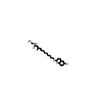 CC(/C=C/CCCCCCCOc1ccc2cc(Cl)ccc2n1)=C\C(=O)NCC(C)C